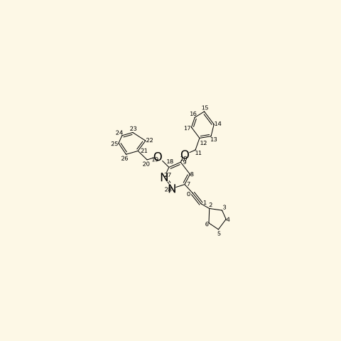 C(#CC1CCCC1)c1cc(OCc2ccccc2)c(OCc2ccccc2)nn1